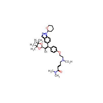 CCC(B1OC(C)(C)C(C)(C)O1)=C(c1ccc(OCCN(CC=CC(=O)N(C)C)C(=O)O)cc1)c1ccc2c(cnn2C2CCCCO2)c1